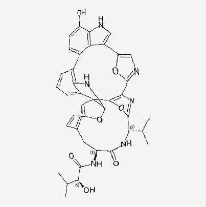 CC(C)[C@H](O)C(=O)N[C@H]1Cc2ccc3c(c2)C24c5cccc(c5NC2O3)-c2ccc(O)c3[nH]cc(c23)-c2cnc(o2)-c2nc(oc24)[C@H](C(C)C)NC1=O